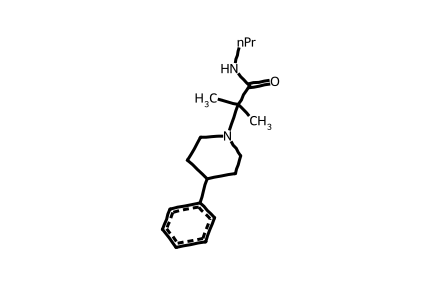 CCCNC(=O)C(C)(C)N1CCC(c2ccccc2)CC1